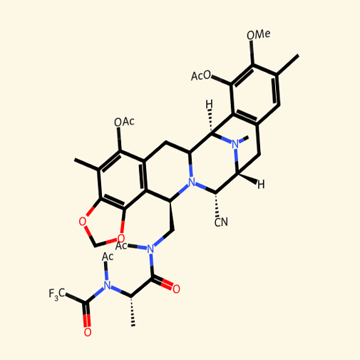 COc1c(C)cc2c(c1OC(C)=O)[C@@H]1C3Cc4c(OC(C)=O)c(C)c5c(c4[C@H](CN(C(C)=O)C(=O)[C@H](C)N(C(C)=O)C(=O)C(F)(F)F)N3[C@@H](C#N)[C@@H](C2)N1C)OCO5